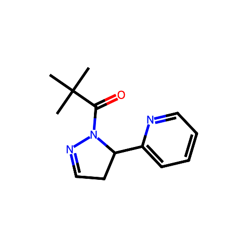 CC(C)(C)C(=O)N1N=CCC1c1ccccn1